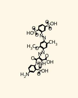 COc1cc(N=Nc2cc(S(=O)(=O)O)ccc2S(=O)(=O)O)c(C)cc1N=Nc1c(C(=O)O)[nH]n(-c2ccc(N)cc2S(=O)(=O)O)c1=O